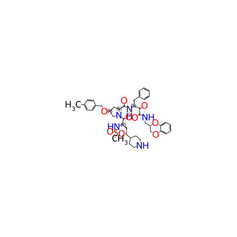 Cc1ccc(CO[C@@H]2C[C@@H](C(=O)N[C@@H](Cc3ccccc3)C(=O)C(=O)NCC3COc4ccccc4O3)N(C(=O)[C@@H](CCC3CCNCC3)NS(C)(=O)=O)C2)cc1